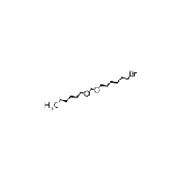 CCCCCCOCOCCC=CCCBr